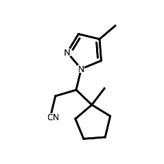 Cc1cnn(C(CC#N)C2(C)CCCC2)c1